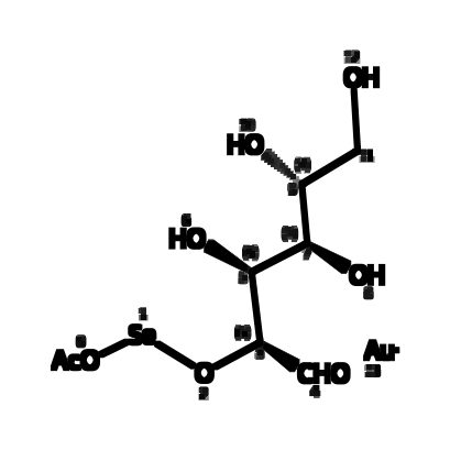 CC(=O)O[Se]O[C@H](C=O)[C@@H](O)[C@H](O)[C@H](O)CO.[Au]